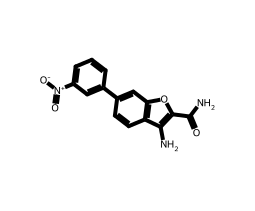 NC(=O)c1oc2cc(-c3cccc([N+](=O)[O-])c3)ccc2c1N